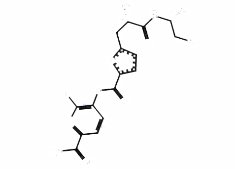 C=C(/C=C\C(OC(=O)c1ccc(C[C@H](CCC)C(=O)N[C@@H](CC(C)=O)C(C)=O)s1)=C(/C)F)C(=N)N